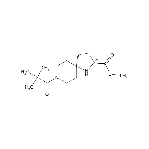 COC(=O)[C@@H]1CSC2(CCN(C(=O)C(C)(C)C)CC2)N1